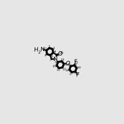 Nc1ccc2c(c1)CN(c1cccc(Oc3ccc(F)cc3F)c1)C2=O